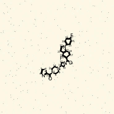 O=C(c1nccs1)N1CCN(C2CN(C(=O)c3ccc4c(ccn4-c4ccc(F)cc4)c3F)C2)CC1